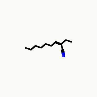 CCCCCC/C=C(\C#N)CC